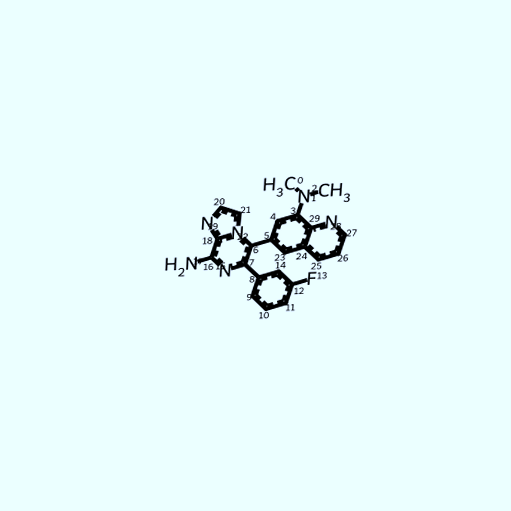 CN(C)c1cc(-c2c(-c3cccc(F)c3)nc(N)c3nccn23)cc2cccnc12